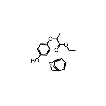 CCOC(=O)C(C)Oc1ccc(O)cc1.c1cc2cc(c1)SC2